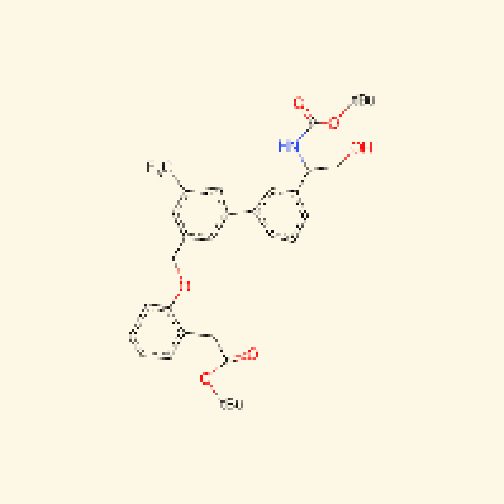 CC(C)(C)OC(=O)Cc1ccccc1OCc1cc(-c2cccc(C(CO)NC(=O)OC(C)(C)C)c2)cc(C(F)(F)F)c1